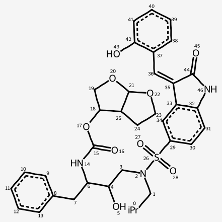 CC(C)CN(CC(O)C(Cc1ccccc1)NC(=O)OC1COC2OCCC12)S(=O)(=O)c1ccc2c(c1)C(=Cc1ccccc1O)C(=O)N2